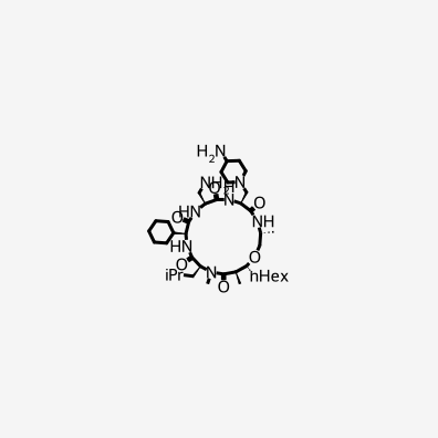 CCCCCC[C@H]1OC[C@@H](C)NC(=O)[C@H](CN2CCC(N)CC2)NC(=O)[C@H](CN)NC(=O)[C@H](C2CCCCC2)NC(=O)[C@H](CC(C)C)N(C)C(=O)[C@@H]1C